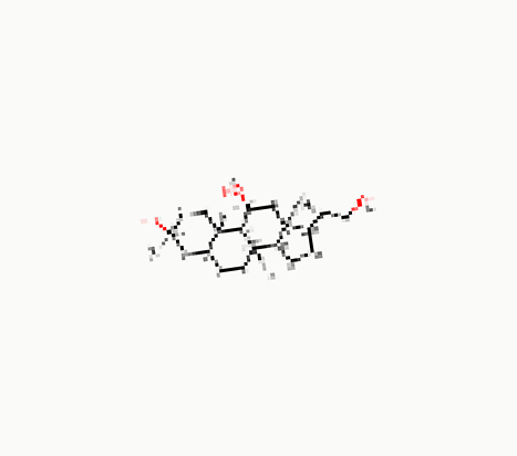 CC12CC[C@@](O)(C(F)(F)F)CC1CC[C@@H]1C2C(O)CC2(C)C1CC[C@@H]2CCO